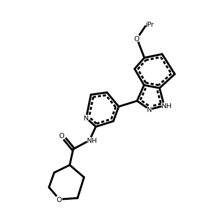 CC(C)Oc1ccc2[nH]nc(-c3ccnc(NC(=O)C4CCOCC4)c3)c2c1